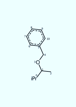 CC(C)C(C)OCc1ccccc1